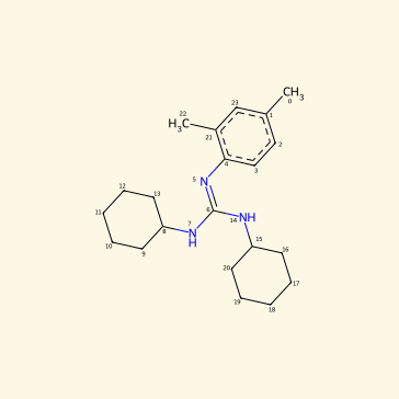 Cc1ccc(N=C(NC2CCCCC2)NC2CCCCC2)c(C)c1